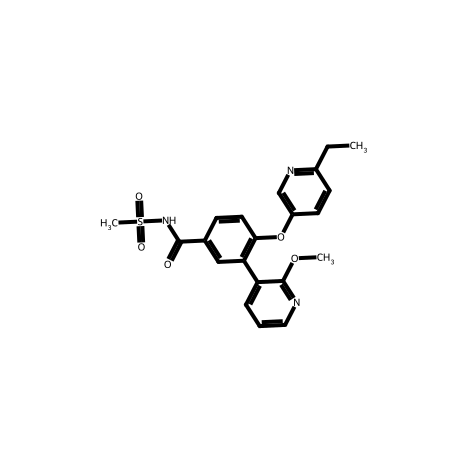 CCc1ccc(Oc2ccc(C(=O)NS(C)(=O)=O)cc2-c2cccnc2OC)cn1